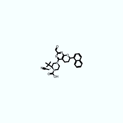 CC(C)(C)[C@@]1(CC#N)CN(c2nc(C=O)nc3c2CCC(c2cccc4ccccc24)O3)CCN1C(=O)O